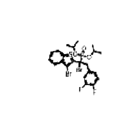 CC(C)OP(=O)(OC(C)C)C(Br)(Cc1ccc(F)c(F)c1)c1sc2ccccc2c1Br